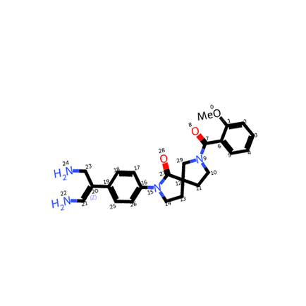 COc1ccccc1C(=O)N1CCC2(CCN(c3ccc(/C(=C/N)CN)cc3)C2=O)C1